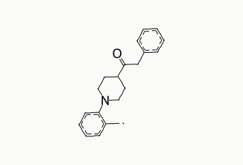 [CH2]c1ccccc1N1CCC(C(=O)Cc2ccccc2)CC1